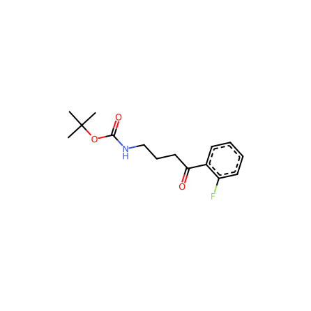 CC(C)(C)OC(=O)NCCCC(=O)c1ccccc1F